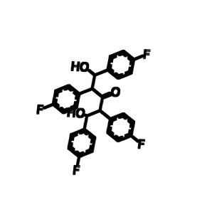 O=C(C(c1ccc(F)cc1)C(O)c1ccc(F)cc1)C(c1ccc(F)cc1)C(O)c1ccc(F)cc1